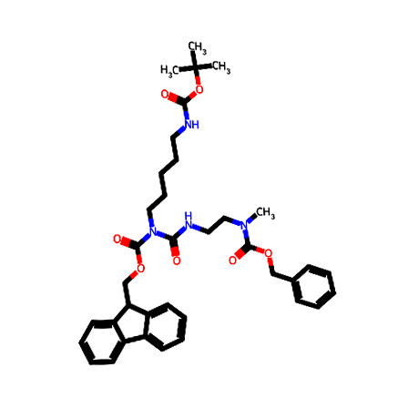 CN(CCNC(=O)N(CCCCCNC(=O)OC(C)(C)C)C(=O)OCC1c2ccccc2-c2ccccc21)C(=O)OCc1ccccc1